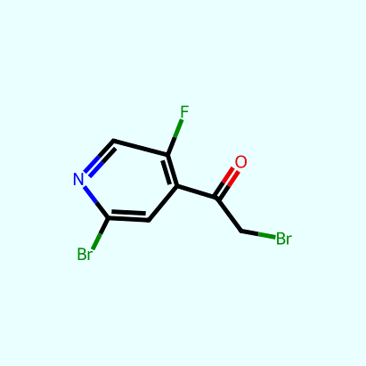 O=C(CBr)c1cc(Br)ncc1F